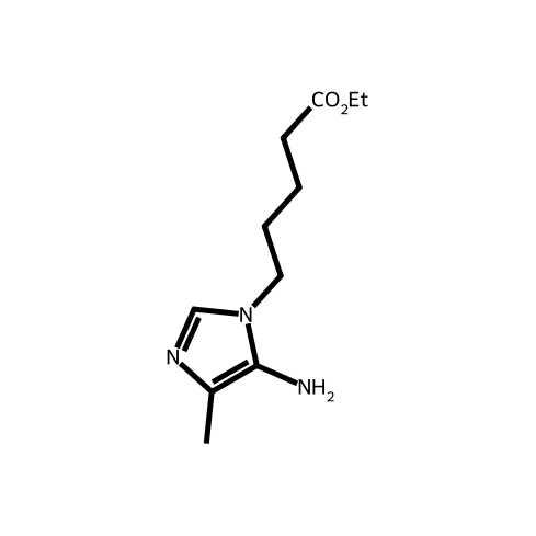 CCOC(=O)CCCCn1cnc(C)c1N